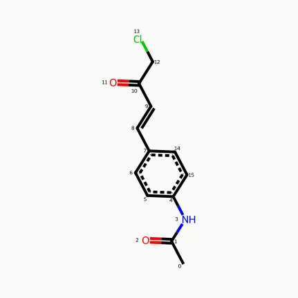 CC(=O)Nc1ccc(C=CC(=O)CCl)cc1